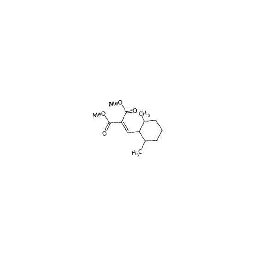 COC(=O)C(=CC1C(C)CCCC1C)C(=O)OC